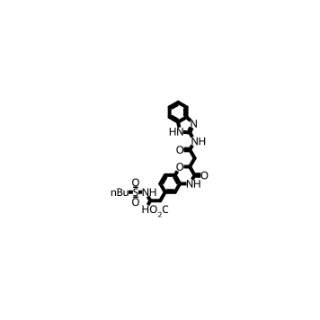 CCCCS(=O)(=O)NC(Cc1ccc2c(c1)NC(=O)C(CC(=O)Nc1nc3ccccc3[nH]1)O2)C(=O)O